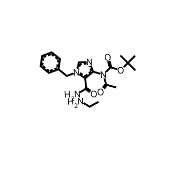 CC(=O)N(C(=O)OC(C)(C)C)c1ncn(Cc2ccccc2)c1C(N)=O.CCN